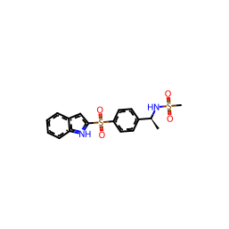 C[C@H](NS(C)(=O)=O)c1ccc(S(=O)(=O)c2cc3ccccc3[nH]2)cc1